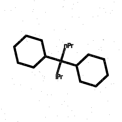 [CH2]CCC(C(C)C)(C1CCCCC1)C1CCCCC1